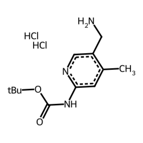 Cc1cc(NC(=O)OC(C)(C)C)ncc1CN.Cl.Cl